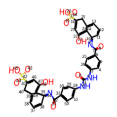 O=C(Nc1ccc(C(=O)N=C2C=CC=C3CC(S(=O)(=O)O)=CC(O)=C32)cc1)Nc1ccc(C(=O)N=C2C=CC=C3CC(S(=O)(=O)O)=CC(O)=C32)cc1